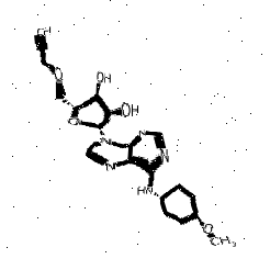 C#CCOC[C@H]1O[C@@H](n2cnc3c(N[C@H]4CC[C@H](OC)CC4)ncnc32)[C@H](O)[C@@H]1O